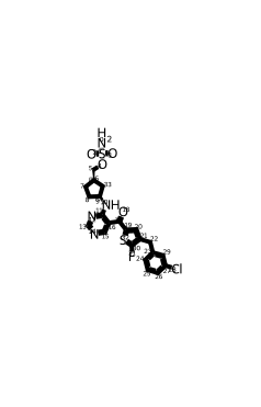 NS(=O)(=O)OC[C@@H]1CC[C@H](Nc2ncncc2C(=O)c2cc(Cc3cccc(Cl)c3)c(F)s2)C1